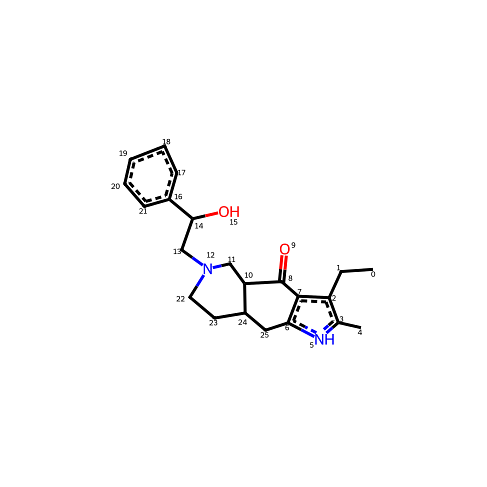 CCc1c(C)[nH]c2c1C(=O)C1CN(CC(O)c3ccccc3)CCC1C2